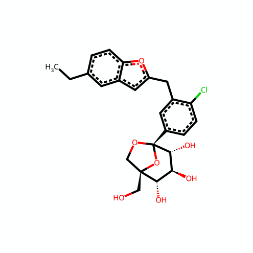 CCc1ccc2oc(Cc3cc([C@]45OC[C@](CO)(O4)[C@@H](O)[C@H](O)[C@H]5O)ccc3Cl)cc2c1